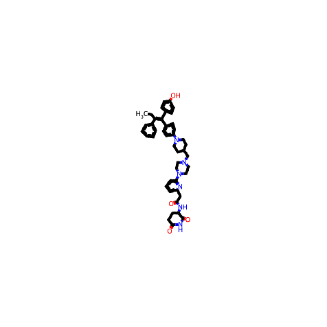 CC/C(=C(\c1ccc(O)cc1)c1ccc(N2CCC(CN3CCN(c4cccc(CC(=O)NC5CCC(=O)NC5=O)n4)CC3)CC2)cc1)c1ccccc1